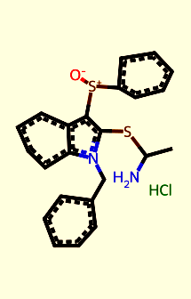 CC(N)Sc1c([S+]([O-])c2ccccc2)c2ccccc2n1Cc1ccccc1.Cl